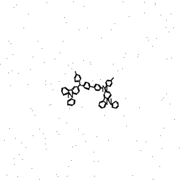 Cc1ccc(C(c2ccc(-c3ccc(N(c4ccc(C)cc4)c4ccc5c(c4)c4ccccc4n5-c4ccccc4)cc3)cc2)c2ccc3c(c2)c2ccccc2n3-c2ccccc2)cc1